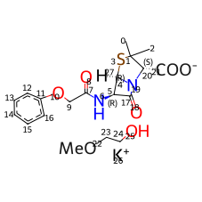 CC1(C)S[C@@H]2[C@H](NC(=O)COc3ccccc3)C(=O)N2[C@H]1C(=O)[O-].COCCO.[K+]